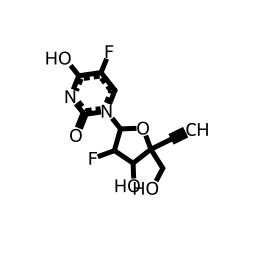 C#CC1(CO)OC(n2cc(F)c(O)nc2=O)C(F)C1O